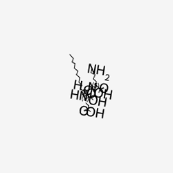 CCCCCCCCCCCC(=O)N[C@@H](CCC(=O)O)C(=O)O.NCCCC[C@H](N)C(=O)O